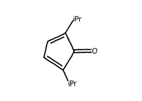 CC(C)C1=CC=C(C(C)C)C1=O